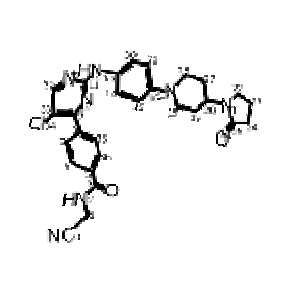 N#CCNC(=O)c1ccc(-c2nc(Nc3ccc(N4CCC(N5CCCC5=O)CC4)cc3)ncc2Cl)cc1